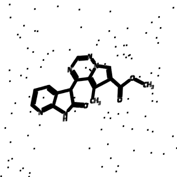 COC(=O)c1cn2ncnc(C3C(=O)Nc4ncccc43)c2c1C